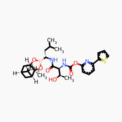 CC(C)C[C@H](NC(=O)[C@@H](NC(=O)Oc1cccc(-c2cccs2)n1)[C@@H](C)O)B1O[C@@H]2C[C@@H]3C[C@@H](C3(C)C)[C@]2(C)O1